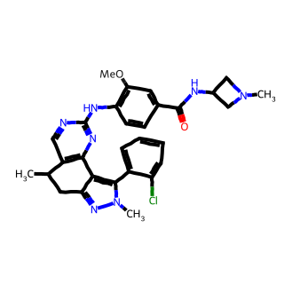 COc1cc(C(=O)NC2CN(C)C2)ccc1Nc1ncc2c(n1)-c1c(nn(C)c1-c1ccccc1Cl)CC2C